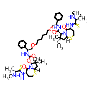 CN[C@@H](C)C(=S)N[C@H]1CCS[C@H]2CC(C)(C)C(OC(=O)N[C@H](COCCCCCCOC[C@@H](NC(=O)[C@H]3N4C(=O)[C@@H](NC(=S)[C@H](C)NC)CCS[C@H]4CC3(C)C)c3ccccc3)c3ccccc3)N2C1=O